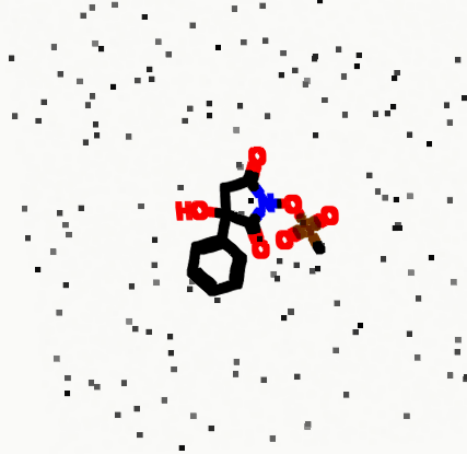 CS(=O)(=O)ON1C(=O)CC(O)(c2ccccc2)C1=O